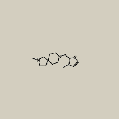 Cc1ccsc1CN1CCC2(CCN(C)C2)CC1